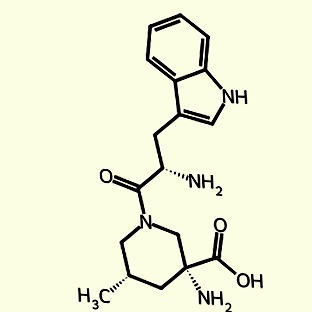 C[C@@H]1CN(C(=O)[C@@H](N)Cc2c[nH]c3ccccc23)C[C@@](N)(C(=O)O)C1